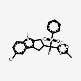 Cc1noc(C(F)(C2Cc3[nH]c4ccc(Cl)cc4c3C2)S(=O)(=O)c2ccccc2)n1